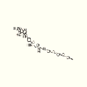 C#CCOCCOCCOCCOCCOCCOCCNC(=O)CC[C@H](C)NC(=O)c1ccc(NCc2cnc3nc(N)nc(O)c3n2)cc1